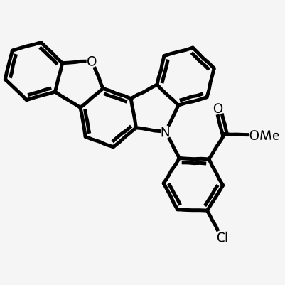 COC(=O)c1cc(Cl)ccc1-n1c2ccccc2c2c3oc4ccccc4c3ccc21